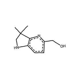 CC1(C)CNc2ccc(CO)nc21